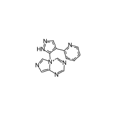 C1=NC=NC2=CN=C[N+]12c1[nH]ncc1-c1ccccn1